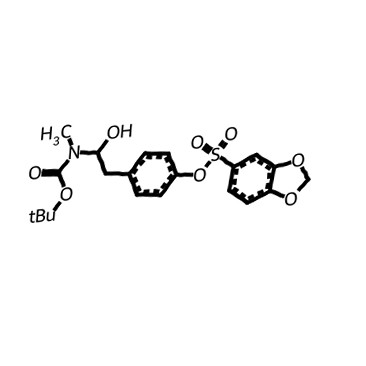 CN(C(=O)OC(C)(C)C)C(O)Cc1ccc(OS(=O)(=O)c2ccc3c(c2)OCO3)cc1